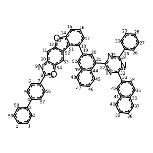 c1ccc(-c2ccc(-c3nc4cc5oc6cccc(-c7cc(-c8nc(-c9ccccc9)nc(-c9ccc%10ccccc%10c9)n8)c8ccccc8c7)c6c5cc4o3)cc2)cc1